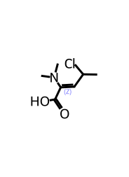 CC(Cl)/C=C(/C(=O)O)N(C)C